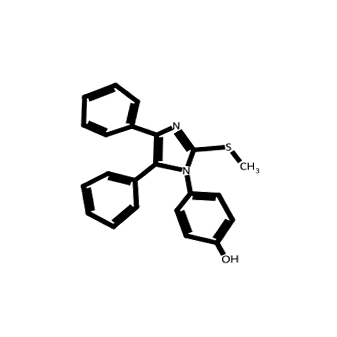 CSc1nc(-c2ccccc2)c(-c2ccccc2)n1-c1ccc(O)cc1